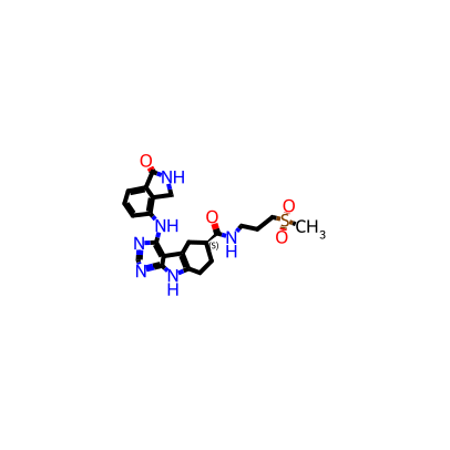 CS(=O)(=O)CCCNC(=O)[C@H]1CCc2[nH]c3ncnc(Nc4cccc5c4CNC5=O)c3c2C1